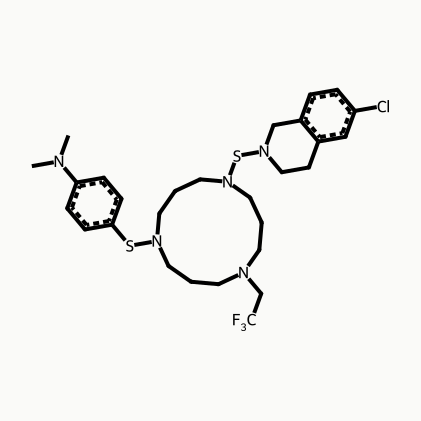 CN(C)c1ccc(SN2CCCN(CC(F)(F)F)CCCN(SN3CCc4cc(Cl)ccc4C3)CCC2)cc1